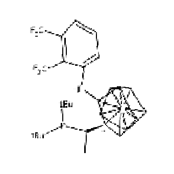 CC(P(C(C)(C)C)C(C)(C)C)[C@@]12[CH]3[CH]4[CH]5[C]1(Pc1cccc(C(F)(F)F)c1C(F)(F)F)[Fe]45321678[CH]2[CH]1[CH]6[CH]7[CH]28